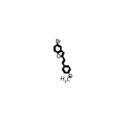 COc1ccc(/C=C/c2cc3cc(Br)ccc3o2)cc1